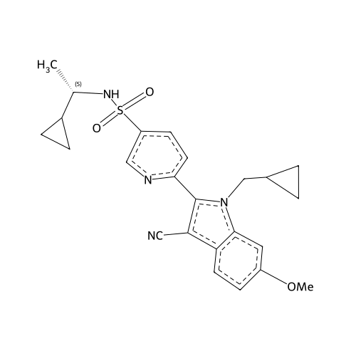 COc1ccc2c(C#N)c(-c3ccc(S(=O)(=O)N[C@@H](C)C4CC4)cn3)n(CC3CC3)c2c1